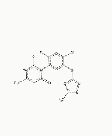 O=c1cc(C(F)(F)F)[nH]c(=O)n1-c1cc(Oc2nnc(C(F)(F)F)o2)c(Cl)cc1F